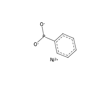 [Ni+2].[O-]P([O-])c1ccccc1